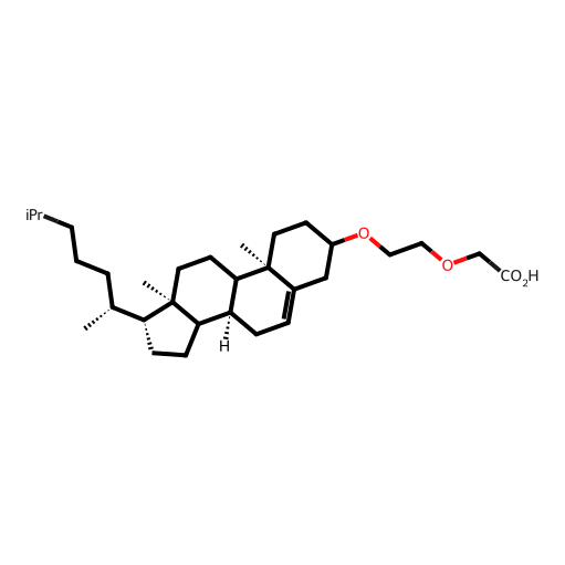 CC(C)CCC[C@@H](C)[C@H]1CCC2[C@@H]3CC=C4CC(OCCOCC(=O)O)CC[C@]4(C)C3CC[C@@]21C